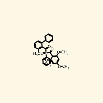 COc1cc(OC)c(C(=O)P(=O)(C(=O)c2c(C)cccc2-c2ccccc2)c2ccccc2)c(OC)c1